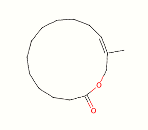 CC1=CCCCCCCCCCCC(=O)OC1